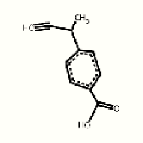 C#CC(C)c1ccc(C(=O)O)cc1